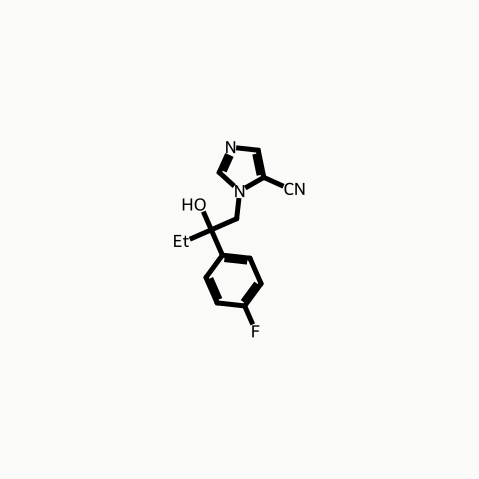 CCC(O)(Cn1cncc1C#N)c1ccc(F)cc1